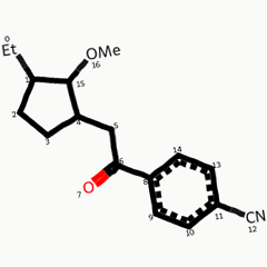 [CH2]CC1C[CH]C(CC(=O)c2ccc(C#N)cc2)C1OC